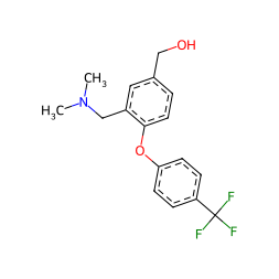 CN(C)Cc1cc(CO)ccc1Oc1ccc(C(F)(F)F)cc1